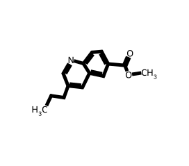 CCCc1cnc2ccc(C(=O)OC)cc2c1